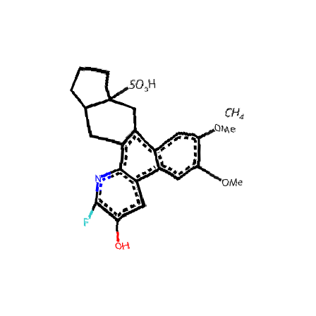 C.COc1cc2c3c(c4nc(F)c(O)cc4c2cc1OC)CC1CCCC1(S(=O)(=O)O)C3